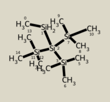 C[SiH2][Si]([Si](C)(C)C)([Si](C)(C)C)[Si](C)(C)C